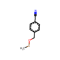 CSOCc1ccc(C#N)cc1